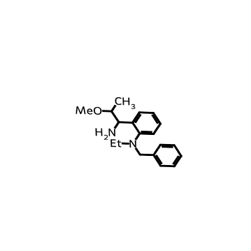 CCN(Cc1ccccc1)c1ccccc1C(N)C(C)OC